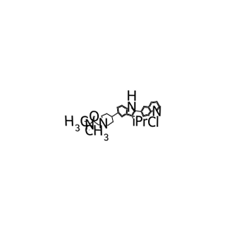 CC(C)c1c(-c2cc(Cl)c3ncccc3c2)[nH]c2ccc(C3CCN(CC(=O)N(C)C)CC3)cc12